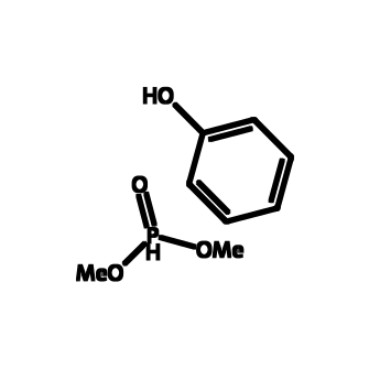 CO[PH](=O)OC.Oc1ccccc1